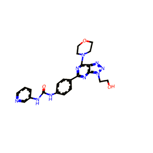 O=C(Nc1ccc(-c2nc(N3CCOCC3)c3nnn(CCO)c3n2)cc1)Nc1cccnc1